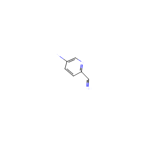 N=Cc1ccc(N)cn1